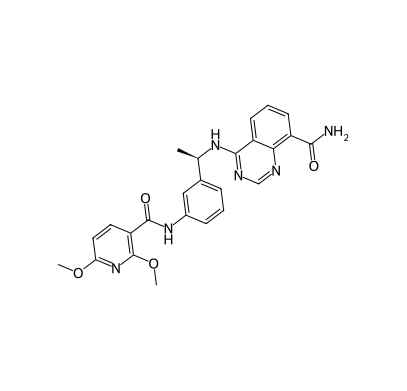 COc1ccc(C(=O)Nc2cccc([C@@H](C)Nc3ncnc4c(C(N)=O)cccc34)c2)c(OC)n1